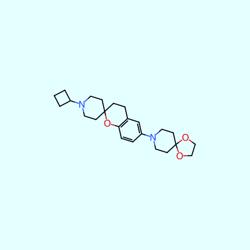 c1cc2c(cc1N1CCC3(CC1)OCCO3)CCC1(CCN(C3CCC3)CC1)O2